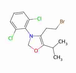 CC(C)C1=C(CCBr)N(c2c(Cl)cccc2Cl)CO1